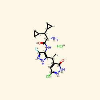 C[C@H](c1[nH]nc(F)c1NC(=O)[C@@H](N)C(C1CC1)C1CC1)c1cc(Cl)n[nH]c1=O.Cl